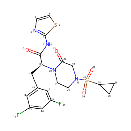 O=C(Nc1nccs1)[C@H](Cc1cc(F)cc(F)c1)N1CCN(S(=O)(=O)C2CC2)CC1=O